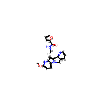 COc1ccc2c(n1)c(CCNC(=O)c1ccco1)c1n2Cc2cccnc2-1